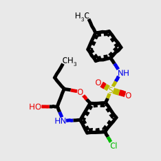 CCC1Oc2c(cc(Cl)cc2S(=O)(=O)Nc2ccc(C)cc2)NC1O